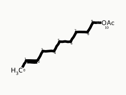 C/C=C/CCCCCCCOC(C)=O